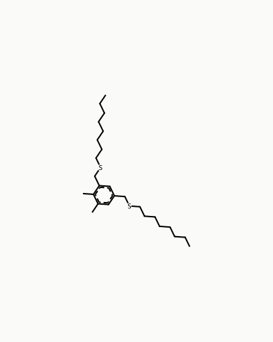 CCCCCCCCSCc1cc(C)c(C)c(CSCCCCCCCC)c1